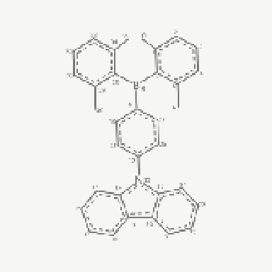 Cc1cccc(C)c1B(c1ccc(-n2c3ccccc3c3ccccc32)cc1)c1c(C)cccc1C